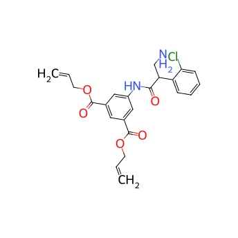 C=CCOC(=O)c1cc(NC(=O)C(CN)c2ccccc2Cl)cc(C(=O)OCC=C)c1